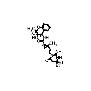 CCC1(CC)CC(=O)N(CCC2(C)C[C@@H]2C(=O)N[C@@H]2c3ccccc3OC(C)(C)[C@H]2O)C(=N)N1